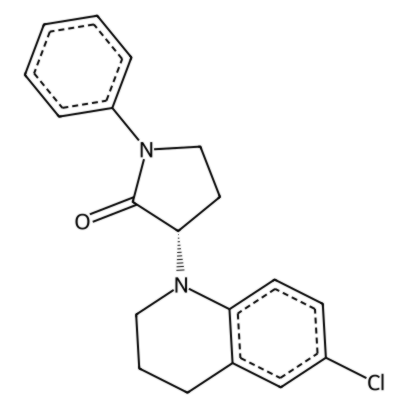 O=C1[C@@H](N2CCCc3cc(Cl)ccc32)CCN1c1ccccc1